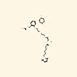 CC(C)(C)C(=O)OCc1ccc(O[C@@H]2C[C@H](C(=O)O)[C@@H](O)[C@H](O)[C@H]2O)cc1OCCOCCNC(=O)[C@H](CS(=O)(=O)O)NC(=O)CCCCCN1C(=O)C=CC1=O